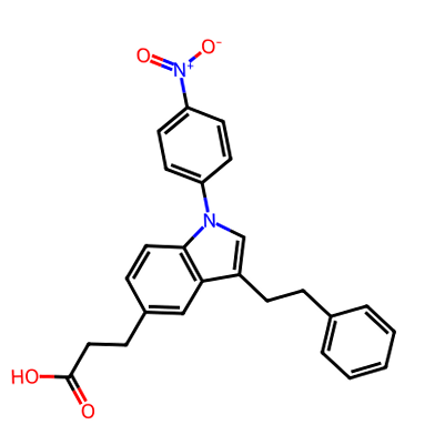 O=C(O)CCc1ccc2c(c1)c(CCc1ccccc1)cn2-c1ccc([N+](=O)[O-])cc1